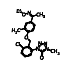 CCO/N=C(/C)c1ccc(OCc2c(Cl)cccc2-n2nnn(C)c2=O)c(C)c1